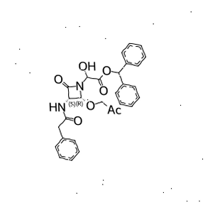 CC(=O)CO[C@@H]1[C@H](NC(=O)Cc2ccccc2)C(=O)N1C(O)C(=O)OC(c1ccccc1)c1ccccc1